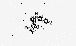 CC1CN(C(C)C)c2cc(-c3nc(Nc4ccc(N5CCC(N(C)C)CC5)c(F)c4)ncc3F)cc(OC(F)(F)F)c2O1